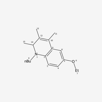 CCCCN1c2ccc(OCC)cc2C(C)=C(C)C1C